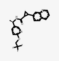 C[C@@H](NC(=O)C1CC1c1ccc2cccnc2c1)c1ccc(OCC(F)(F)F)nc1